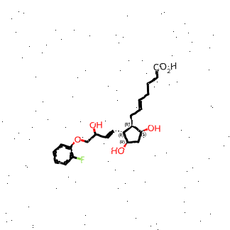 O=C(O)CCCC=CC[C@@H]1[C@@H](C=CC(O)COc2ccccc2F)[C@H](O)C[C@@H]1O